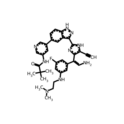 C#Cc1[nH]c(-c2n[nH]c3ccc(-c4cncc(NC(=O)C(C)(C)C)c4)cc23)nc1/C(=C\N)c1cc(F)cc(NCCN(C)C)c1